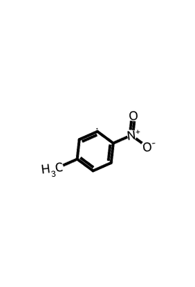 Cc1c[c]c([N+](=O)[O-])cc1